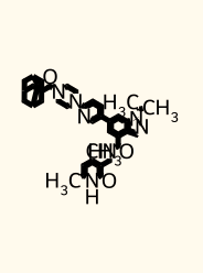 Cc1cc(C)c(CNC(=O)c2cc(-c3ccc(N4CCN(C(=O)C56CC7CC(CC(C7)C5)C6)CC4)nc3)cc3c2cnn3C(C)C)c(=O)[nH]1